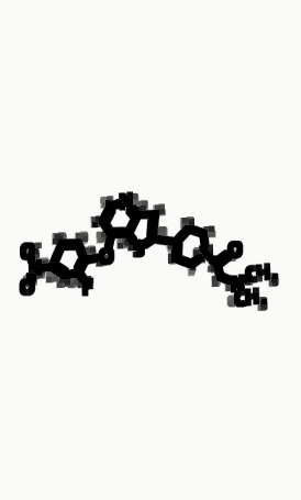 CN(C)CC(=O)N1CC=C(c2cc3nccc(Oc4ccc([N+](=O)[O-])cc4F)c3s2)CC1